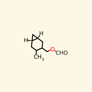 CC1C[C@@H]2C[C@@H]2CC1COC=O